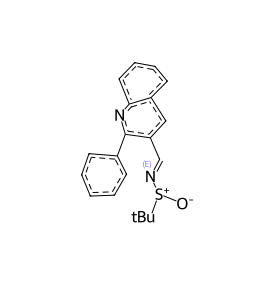 CC(C)(C)[S+]([O-])/N=C/c1cc2ccccc2nc1-c1ccccc1